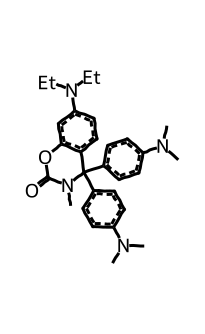 CCN(CC)c1ccc2c(c1)OC(=O)N(C)C2(c1ccc(N(C)C)cc1)c1ccc(N(C)C)cc1